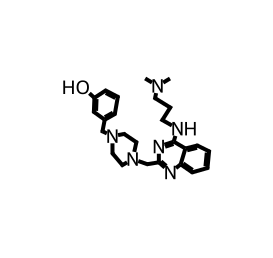 CN(C)CCCNc1nc(CN2CCN(Cc3cccc(O)c3)CC2)nc2ccccc12